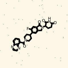 O=C1CCC(N2Cc3cc(C4CCN(C(=O)c5cccc6nccnc56)CC4)c(F)cc3C2=O)C(=O)N1